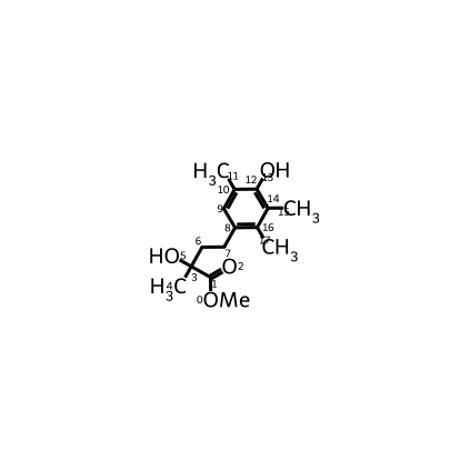 COC(=O)C(C)(O)CCc1cc(C)c(O)c(C)c1C